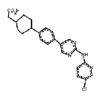 O=C(O)CC1CCC(c2ccc(-c3cnc(Nc4ccc(Cl)cn4)nc3)cc2)CC1